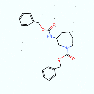 O=C(NC1CCCCN(C(=O)OCc2ccccc2)C1)OCc1ccccc1